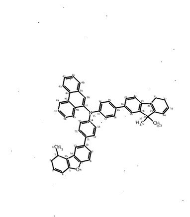 CC1CC=Cc2oc3ccc(-c4ccc(N(c5ccc(-c6ccc7c(c6)C(C)(C)C6=C7CCC=C6)cc5)c5cc6ccccc6c6ccccc56)cc4)cc3c21